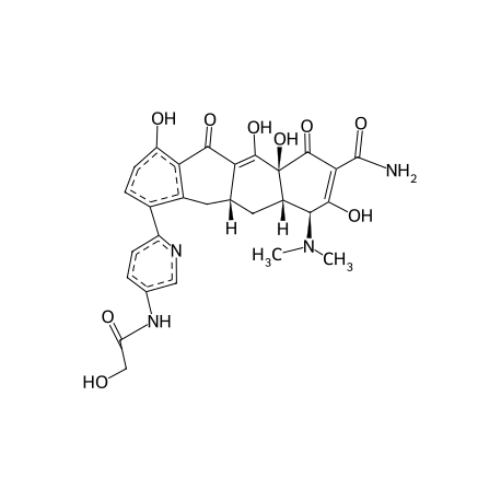 CN(C)[C@@H]1C(O)=C(C(N)=O)C(=O)[C@@]2(O)C(O)=C3C(=O)c4c(O)ccc(-c5ccc(NC(=O)CO)cn5)c4C[C@H]3C[C@@H]12